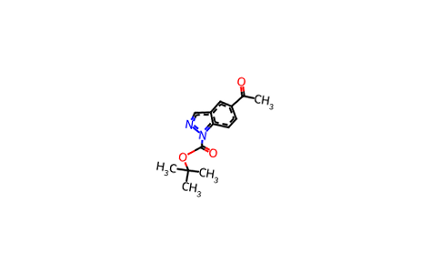 CC(=O)c1ccc2c(cnn2C(=O)OC(C)(C)C)c1